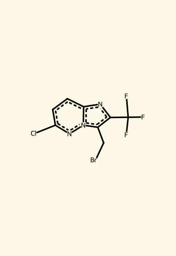 FC(F)(F)c1nc2ccc(Cl)nn2c1CBr